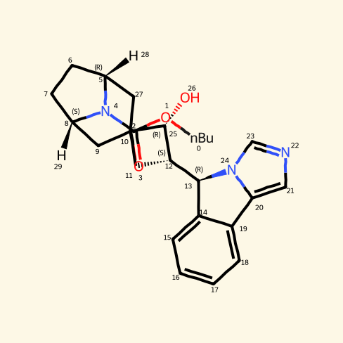 CCCCOC(=O)N1[C@@H]2CC[C@H]1CC1(C[C@@H]([C@@H]3c4ccccc4-c4cncn43)[C@H]1O)C2